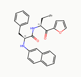 CC(C)C[C@H](NC(=O)[C@H](Cc1ccccc1)Nc1ccc2ccccc2c1)C(=O)c1ccco1